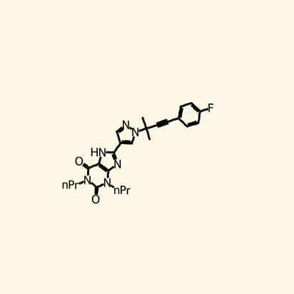 CCCn1c(=O)c2[nH]c(-c3cnn(C(C)(C)C#Cc4ccc(F)cc4)c3)nc2n(CCC)c1=O